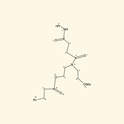 CCCNC(=O)CCC(=O)N(CCOC)CCOC(=O)CCC(C)=O